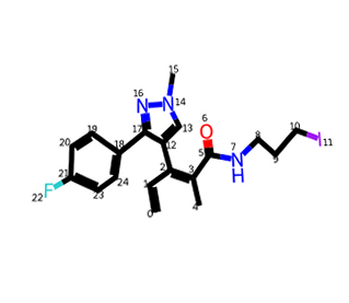 C=C/C(=C(\C)C(=O)NCCCI)c1cn(C)nc1-c1ccc(F)cc1